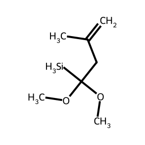 C=C(C)CC([SiH3])(OC)OC